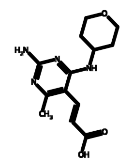 Cc1nc(N)nc(NC2CCOCC2)c1C=CC(=O)O